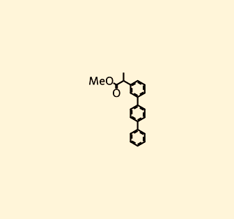 COC(=O)C(C)c1cccc(-c2ccc(-c3ccccc3)cc2)c1